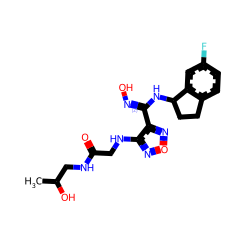 CC(O)CNC(=O)CNc1nonc1/C(=N/O)NC1CCc2ccc(F)cc21